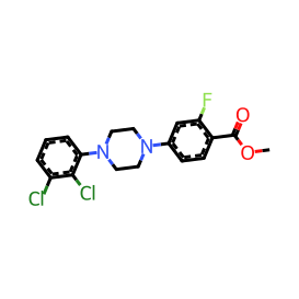 COC(=O)c1ccc(N2CCN(c3cccc(Cl)c3Cl)CC2)cc1F